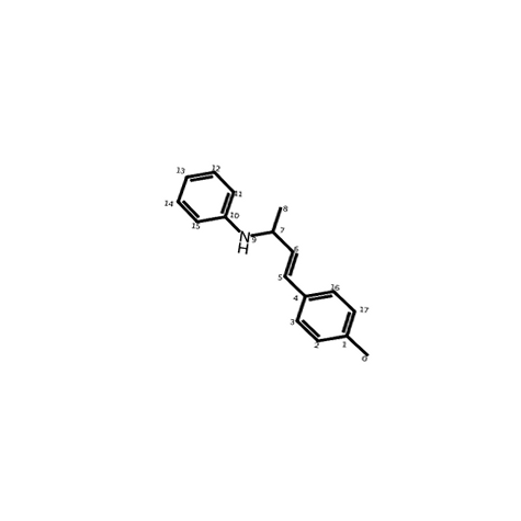 Cc1ccc(/C=C/C(C)Nc2ccccc2)cc1